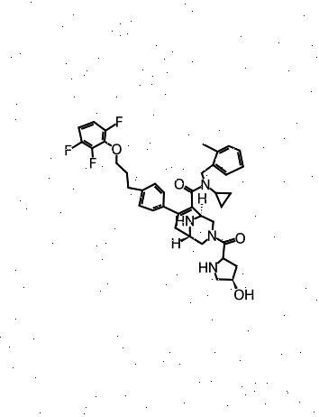 Cc1ccccc1CN(C(=O)C1=C(c2ccc(CCCOc3c(F)ccc(F)c3F)cc2)C[C@H]2CN(C(=O)C3C[C@@H](O)CN3)C[C@H]1N2)C1CC1